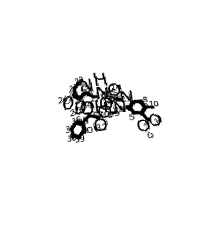 COC(=O)c1cc2c(cc1C)nc(S(=O)(=O)NCc1nccc(OC)c1OC)n2COC(=O)[C@H](O)c1ccccc1